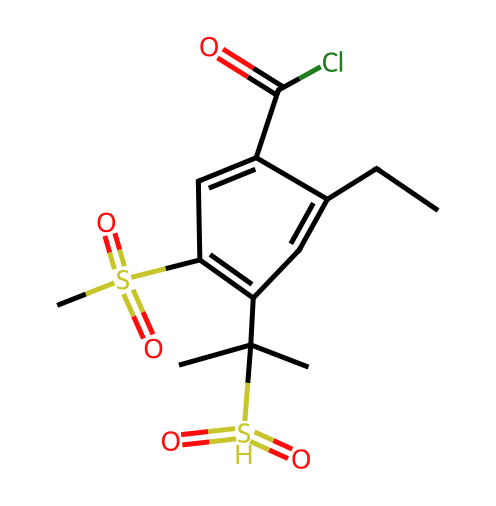 CCc1cc(C(C)(C)[SH](=O)=O)c(S(C)(=O)=O)cc1C(=O)Cl